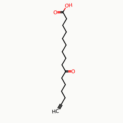 C#CCCCCC(=O)CCCCCCCCC(=O)O